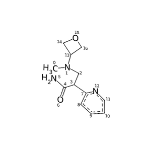 CN(CC(C(N)=O)c1ccccn1)C1COC1